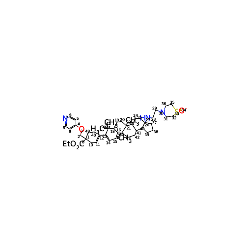 CCOC(=O)C1(COc2ccncc2)CC=C(C2=CCC3(C)C(CCC4(C)C5CCC6(NCCN7CC[S+]([O-])CC7)CCCC6C5CCC43)C2(C)C)CC1